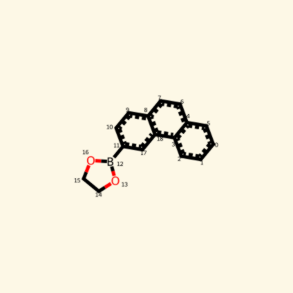 c1ccc2c(c1)ccc1ccc(B3OCCO3)cc12